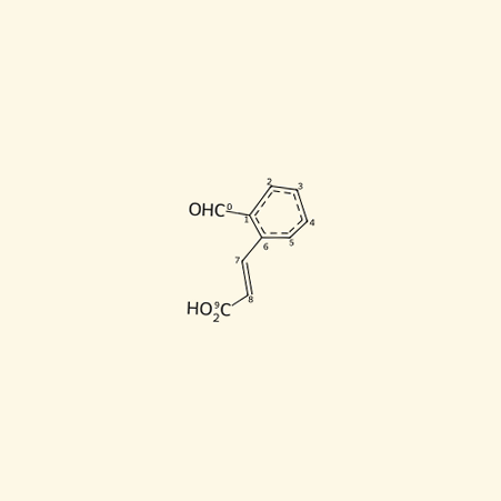 O=Cc1ccccc1C=CC(=O)O